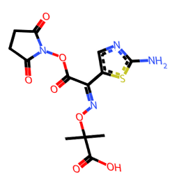 CC(C)(O/N=C(\C(=O)ON1C(=O)CCC1=O)c1cnc(N)s1)C(=O)O